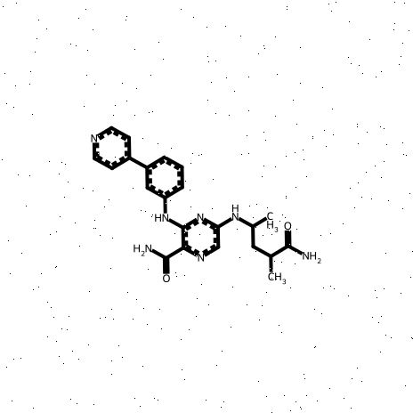 CC(CC(C)C(N)=O)Nc1cnc(C(N)=O)c(Nc2cccc(-c3ccncc3)c2)n1